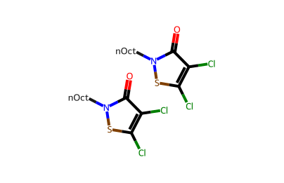 CCCCCCCCn1sc(Cl)c(Cl)c1=O.CCCCCCCCn1sc(Cl)c(Cl)c1=O